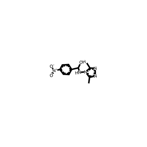 Cc1nnc(C)n1NC(O)c1ccc([N+](=O)[O-])cc1